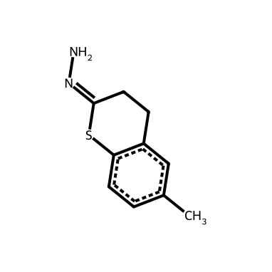 Cc1ccc2c(c1)CCC(=NN)S2